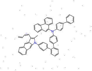 C=C/C=C\c1c(C)n(-c2ccc(-c3ccccc3-c3ccc(N(c4ccc(-c5ccccc5)cc4)c4cc5ccccc5c5ccccc45)cc3)cc2)c2cc3ccccc3cc12